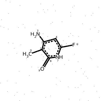 Cc1c(N)cc(F)[nH]c1=O